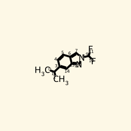 CC(C)c1ccc2cn(C(F)F)nc2c1